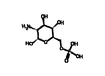 N[C@@H]1[C@@H](O)[C@H](O)[C@@H](COP(=O)(O)O)O[C@@H]1O